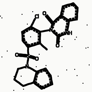 Cc1c(S(=O)(=O)N2CCCc3ccccc32)ccc(Cl)c1-n1c(=O)[nH]c2ccccc2c1=O